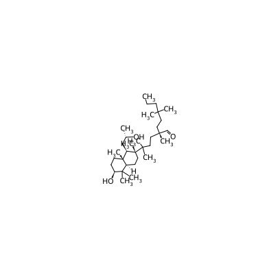 CCCC(C)(C)CC[C@](C)(C=O)CCC(C)(C)[C@]1(C)CC[C@H]2C(C)(C)[C@@H](O)CC[C@]2(C)[C@H]1C[C@H](C)O